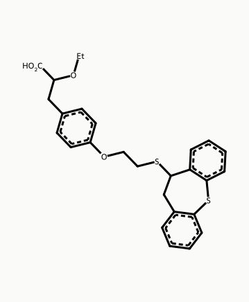 CCOC(Cc1ccc(OCCSC2Cc3ccccc3Sc3ccccc32)cc1)C(=O)O